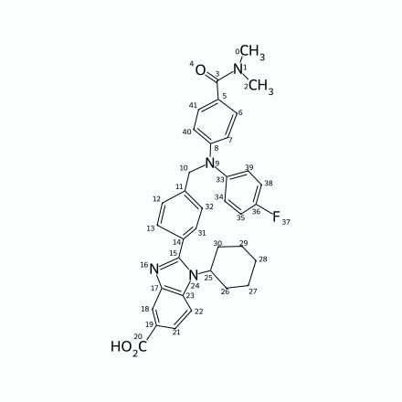 CN(C)C(=O)c1ccc(N(Cc2ccc(-c3nc4cc(C(=O)O)ccc4n3C3CCCCC3)cc2)c2ccc(F)cc2)cc1